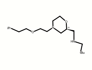 CC(C)CCOCCN1CCO[C@@H](CNCC(C)(C)C)C1